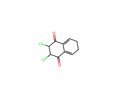 O=C1C2=CCCC=C2C(=O)C(Cl)C1Cl